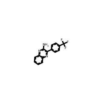 Nc1nc2ccc[c]c2nc1-c1ccc(C(F)(F)F)cc1